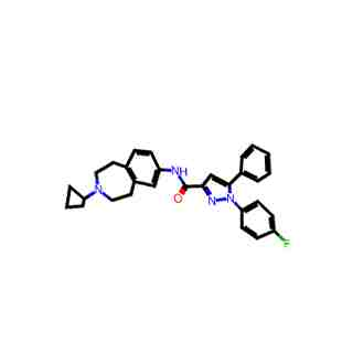 O=C(Nc1ccc2c(c1)CCN(C1CCC1)CC2)c1cc(-c2ccccc2)n(-c2ccc(F)cc2)n1